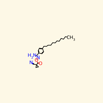 CCCCCCCCCCCCc1ccc(/C(N)=N/OC(=O)C2(C#N)CC2)cc1